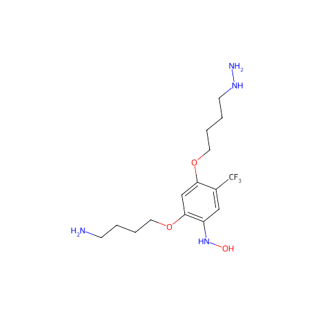 NCCCCOc1cc(OCCCCNN)c(C(F)(F)F)cc1NO